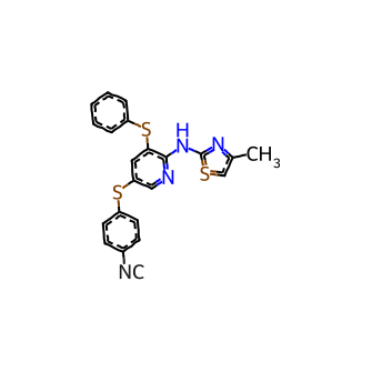 [C-]#[N+]c1ccc(Sc2cnc(Nc3nc(C)cs3)c(Sc3ccccc3)c2)cc1